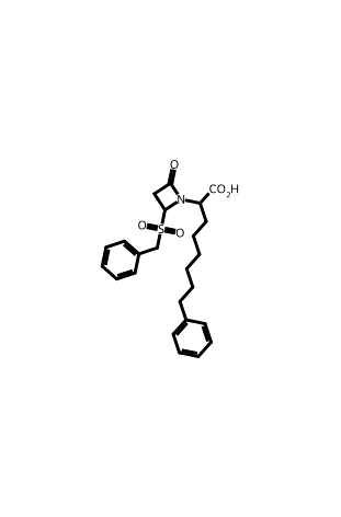 O=C(O)C(CCCCCCc1ccccc1)N1C(=O)CC1S(=O)(=O)Cc1ccccc1